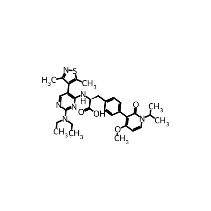 CCN(CC)c1ncc(-c2c(C)nsc2C)c(N[C@@H](Cc2ccc(-c3c(OC)ccn(C(C)C)c3=O)cc2)C(=O)O)n1